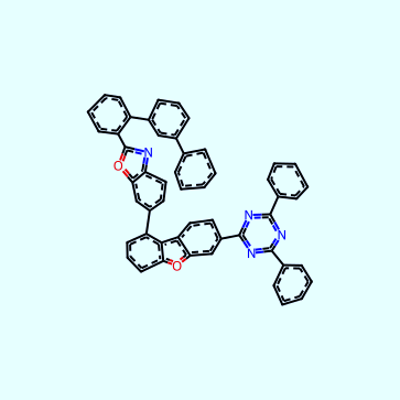 c1ccc(-c2cccc(-c3ccccc3-c3nc4ccc(-c5cccc6oc7cc(-c8nc(-c9ccccc9)nc(-c9ccccc9)n8)ccc7c56)cc4o3)c2)cc1